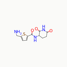 NCc1ccc(C(=O)NC2CCC(=O)NC2=O)s1